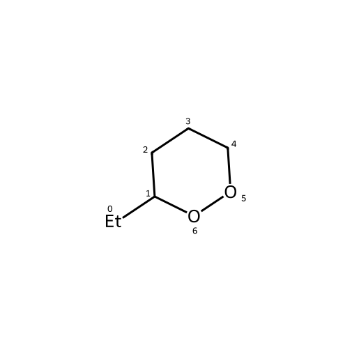 [CH2]CC1CCCOO1